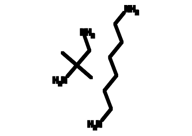 CC(C)(N)CN.NCCCCCCN